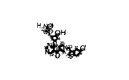 NS(=O)(=O)OC[C@H]1C[C@@H](Nc2ncncc2C(=O)c2ccn(Cc3csc4ccc(Cl)cc34)c2)C[C@@H]1O